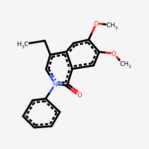 CCc1cn(-c2ccccc2)c(=O)c2cc(OC)c(OC)cc12